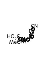 COc1cc(C(=O)O)cc2c1nc([C@@H](C)N1CCC(c3cccc(OCc4ccc(C#N)cc4F)n3)CC1)n2C